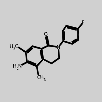 Cc1cc2c(c(C)c1N)CCN(c1ccc(F)cc1)C2=O